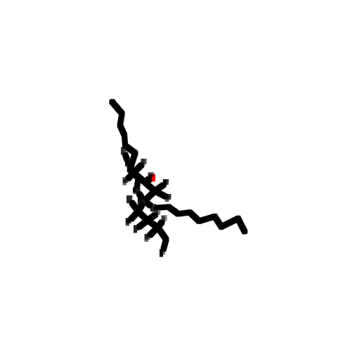 CCCCCCCC[O][Sn]([O]CCCCCCCC)([C](F)(F)C(F)(F)C(F)(F)CF)[C](F)(F)C(F)(F)C(F)(F)CF